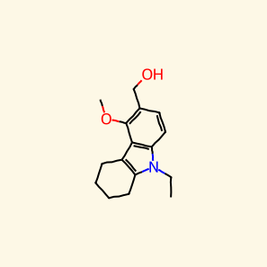 CCn1c2c(c3c(OC)c(CO)ccc31)CCCC2